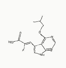 CC(C)COc1ncnc2[nH]cc(/C=C(\F)C(=O)O)c12